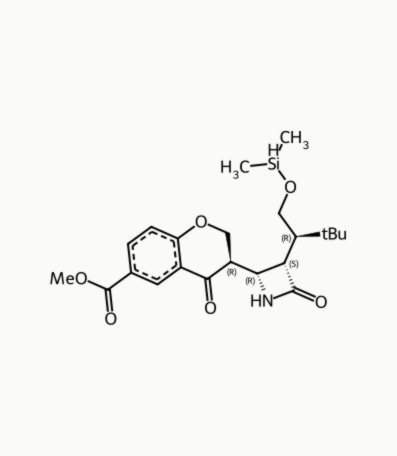 COC(=O)c1ccc2c(c1)C(=O)[C@H]([C@H]1NC(=O)[C@H]1[C@@H](CO[SiH](C)C)C(C)(C)C)CO2